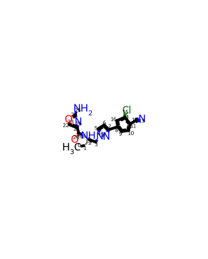 CC[C@@H](Cn1ccc(-c2ccc(C#N)c(Cl)c2)n1)NC(=O)c1coc(N)n1